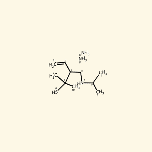 C=CC(CNC(C)C)C(C)(C)S.N.N